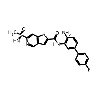 CS(=N)(=O)c1cc2sc(C(=O)Nc3cc(-c4ccc(F)cc4)ccc3N)cc2cn1